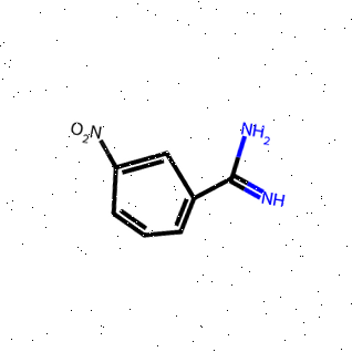 N=C(N)c1cccc([N+](=O)[O-])c1